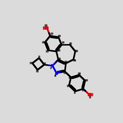 Oc1ccc(-c2nn(C3CCC3)c3c2CCCc2cc(O)ccc2-3)cc1